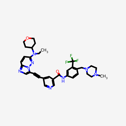 CCN(c1ccc2ncc(C#Cc3cncc(C(=O)Nc4ccc(CN5CCN(C)CC5)c(C(F)(F)F)c4)c3)n2n1)C1CCOCC1